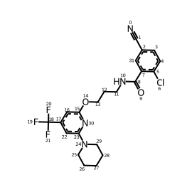 N#Cc1ccc(Cl)c(C(=O)NCCCOc2cc(C(F)(F)F)cc(N3CCCCC3)n2)c1